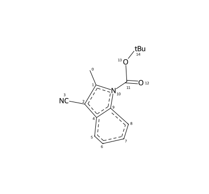 Cc1c(C#N)c2ccccc2n1C(=O)OC(C)(C)C